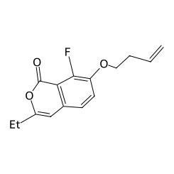 C=CCCOc1ccc2cc(CC)oc(=O)c2c1F